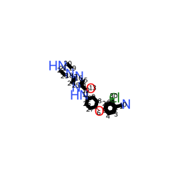 N#Cc1ccc(O[C@H]2CC[C@H](NC(=O)c3cnc(N4CCNCC4)cn3)CC2)cc1Cl